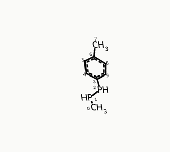 CPPc1ccc(C)cc1